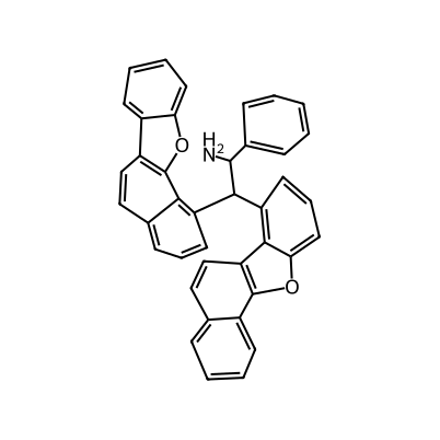 NC(c1ccccc1)C(c1cccc2oc3c4ccccc4ccc3c12)c1cccc2ccc3c4ccccc4oc3c12